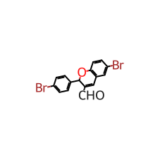 O=CC1=Cc2cc(Br)ccc2OC1c1ccc(Br)cc1